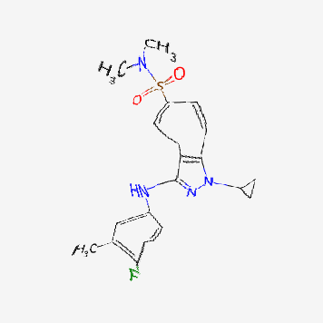 Cc1cc(Nc2nn(C3CC3)c3ccc(S(=O)(=O)N(C)C)cc23)ccc1F